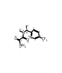 C[C@@H](c1ccc(C(F)(F)F)cn1)N(C)C(=O)C(N)=O